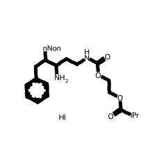 CCCCCCCCCC(Cc1ccccc1)C(N)CCNC(=O)OCCOC(=O)C(C)C.I